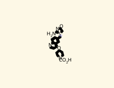 NC1=NC(=O)C/S1=C/c1ccc2nccc(OC3CCN(C(=O)O)CC3)c2c1